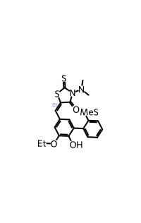 CCOc1cc(/C=C2/SC(=S)N(N(C)C)C2=O)cc(-c2ccccc2SC)c1O